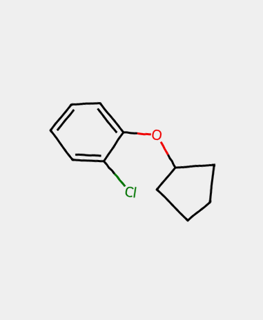 Clc1ccccc1OC1CCCC1